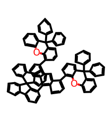 c1ccc(C2(c3ccccc3)c3ccccc3Oc3c(-c4cccc5c(-c6cccc7c6C6(c8ccccc8-c8ccccc86)c6ccccc6-7)c6cccc(-c7cccc8c7Oc7ccccc7C8(c7ccccc7)c7ccccc7)c6cc45)cccc32)cc1